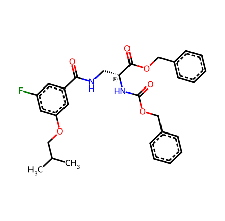 CC(C)COc1cc(F)cc(C(=O)NC[C@@H](NC(=O)OCc2ccccc2)C(=O)OCc2ccccc2)c1